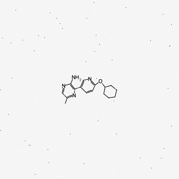 Cc1cnc(N)c(-c2ccc(OC3CCCCC3)nc2)n1